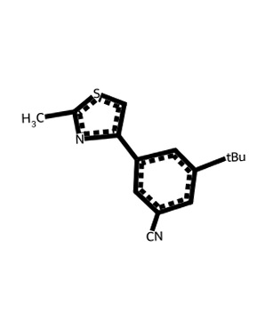 Cc1nc(-c2cc(C#N)cc(C(C)(C)C)c2)cs1